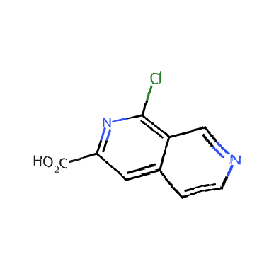 O=C(O)c1cc2ccncc2c(Cl)n1